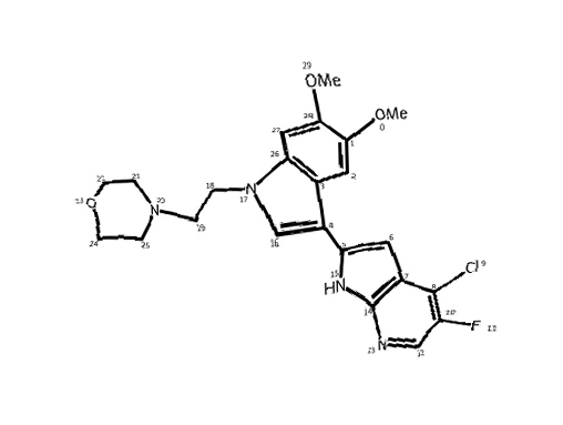 COc1cc2c(-c3cc4c(Cl)c(F)cnc4[nH]3)cn(CCN3CCOCC3)c2cc1OC